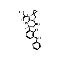 C[C@@]1(c2cccc(Nc3ccccc3)c2Cl)CC(=O)N(CC2(O)CC2)C(=NC(=O)O)N1